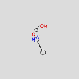 OCC1CC(Oc2ncc(C#Cc3ccccc3)cn2)C1